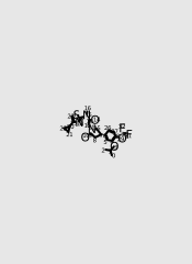 CC(C)Oc1cc([C@@H]2CC(=O)N(CC(=O)N(C)c3nc(C4CC4)cs3)C2)ccc1OC(F)F